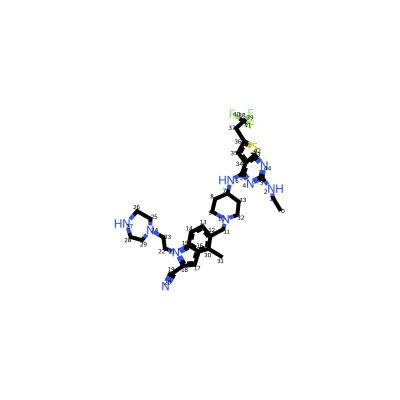 CCNc1nc(NC2CCN(Cc3ccc4c(cc(C#N)n4CCN4CCNCC4)c3C)CC2)c2cc(CC(F)(F)F)sc2n1